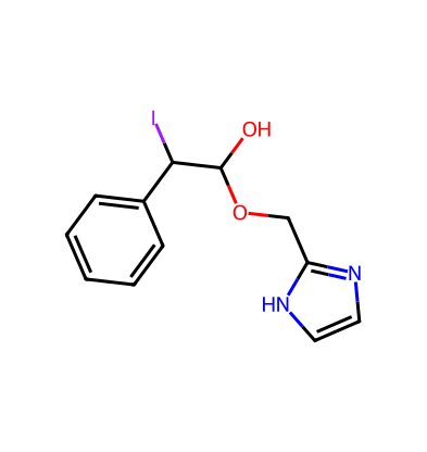 OC(OCc1ncc[nH]1)C(I)c1ccccc1